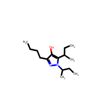 CCCCc1nn(C(C)CC)c(C(C)CC)c1O